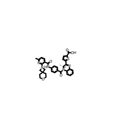 Cc1ccc(C(=O)Nc2ccc(C(=O)N3c4ccccc4N=C(c4ccc(C(=O)O)s4)[C@H]3C)cc2)c(N2CC3(CCOCC3)C2)n1